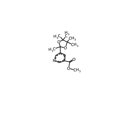 COC(=O)c1cncc(C2(C)OC(C)(C)C(C)(C)O2)c1